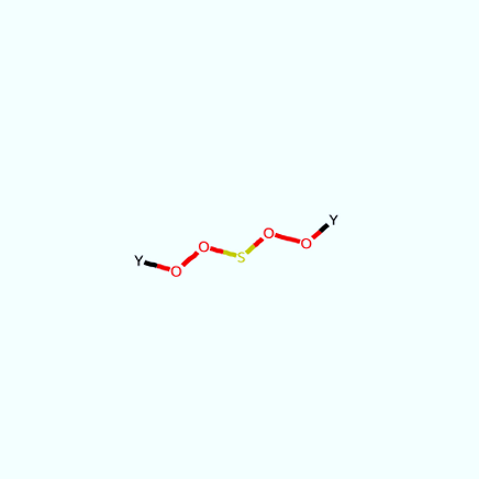 [Y][O]OSO[O][Y]